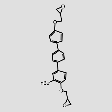 CCCCc1cc(-c2ccc(-c3ccc(OCC4CO4)cc3)cc2)ccc1OCC1CO1